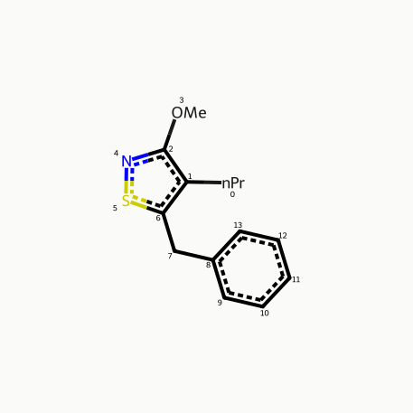 CCCc1c(OC)nsc1Cc1ccccc1